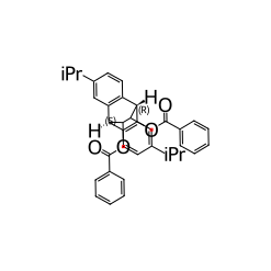 CC(C)c1ccc2c(c1)[C@H]1c3ccc(C(C)C)cc3[C@H]2C(OC(=O)c2ccccc2)C1OC(=O)c1ccccc1